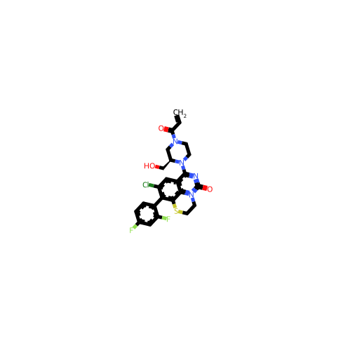 C=CC(=O)N1CCN(c2nc(=O)n3c4c(c(-c5ccc(F)cc5F)c(Cl)cc24)SCC3)[C@@H](CO)C1